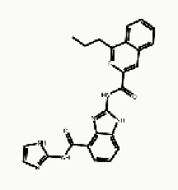 CCCc1nc(C(=O)Nc2nc3c(C(=O)Nc4ncc[nH]4)cccc3[nH]2)cc2ccccc12